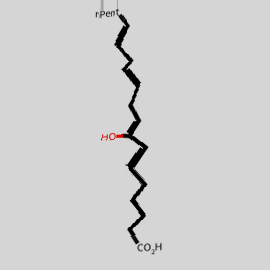 CCCCCC=CCC=CCC=C(O)C=CCCCCC(=O)O